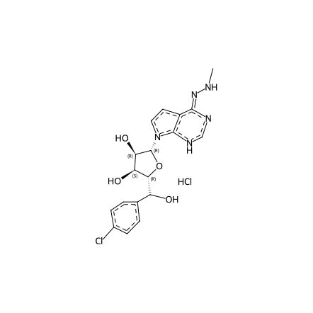 CNN=c1nc[nH]c2c1ccn2[C@@H]1O[C@H](C(O)c2ccc(Cl)cc2)[C@@H](O)[C@H]1O.Cl